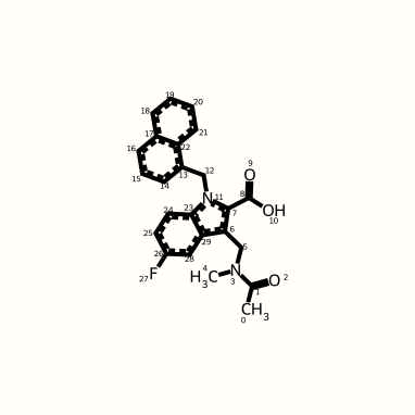 CC(=O)N(C)Cc1c(C(=O)O)n(Cc2cccc3ccccc23)c2ccc(F)cc12